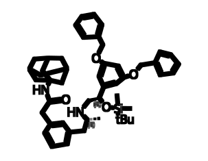 C[C@H](Cc1cccc(CC(=O)NC23CC4CC(CC(C4)C2)C3)c1)NC[C@H](O[Si](C)(C)C(C)(C)C)c1cc(OCc2ccccc2)cc(OCc2ccccc2)c1